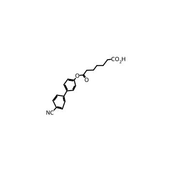 N#Cc1ccc(-c2ccc(OC(=O)CCCCCC(=O)O)cc2)cc1